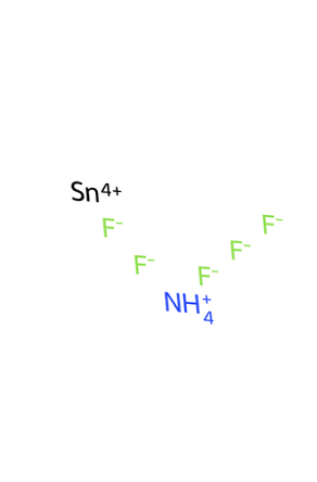 [F-].[F-].[F-].[F-].[F-].[NH4+].[Sn+4]